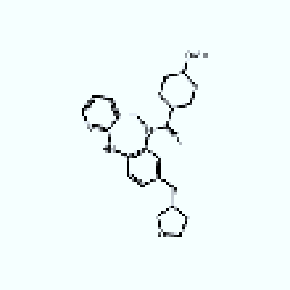 COC1CCC(C(=O)N2Cc3cccnc3Nc3ccc(C[C@H]4CCOC4)cc32)CC1